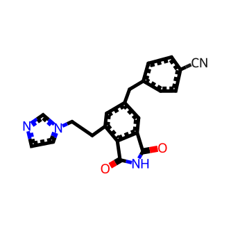 N#Cc1ccc(Cc2cc(CCn3ccnc3)c3c(c2)C(=O)NC3=O)cc1